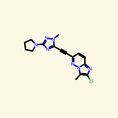 Cc1c(Cl)nc2ccc(C#Cc3nc(N4CCCC4)nn3C)nn12